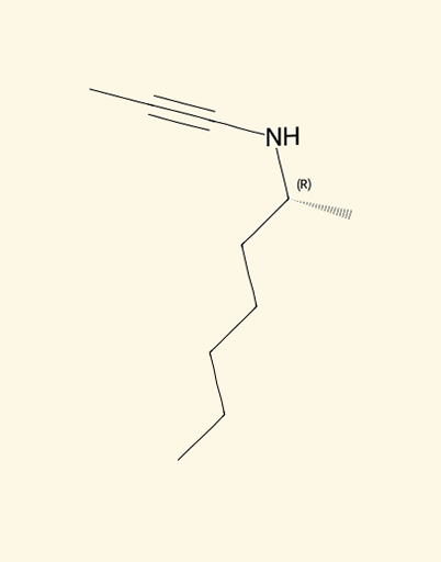 CC#CN[C@H](C)CCCCC